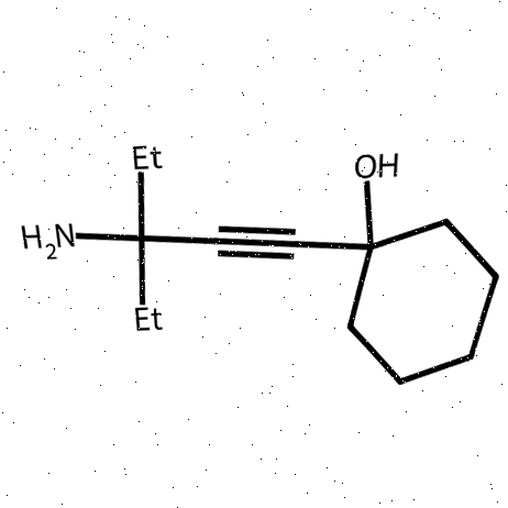 CCC(N)(C#CC1(O)CCCCC1)CC